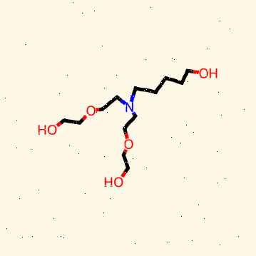 OCCCCCN(CCOCCO)CCOCCO